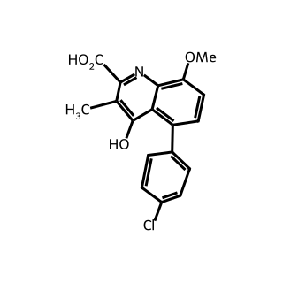 COc1ccc(-c2ccc(Cl)cc2)c2c(O)c(C)c(C(=O)O)nc12